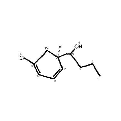 CCCC(O)[C@@]1(C)C=CC=C(Cl)C1